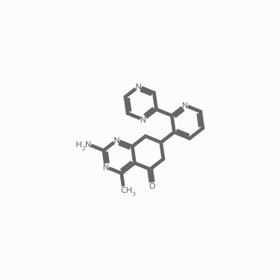 Cc1nc(N)nc2c1C(=O)CC(c1cccnc1-c1cnccn1)C2